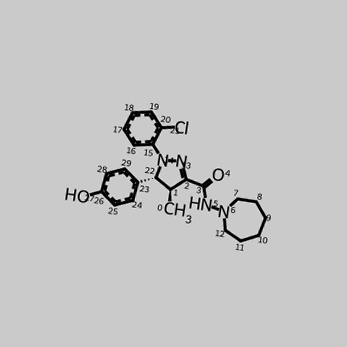 C[C@@H]1C(C(=O)NN2CCCCCC2)=NN(c2ccccc2Cl)[C@H]1c1ccc(O)cc1